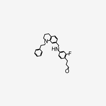 O=CCCc1ccc(NCc2ccc3c(c2)N(CCc2ccccc2)CCC3)cc1F